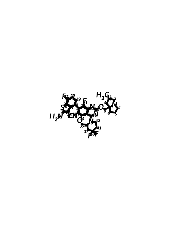 C[C@H]1CN2CCCC2(COc2nc3c4c(c(Cl)c(-c5ccc(F)c6sc(N)c(C#N)c56)c(F)c4n2)OCC2CC(F)(F)CCN32)C1